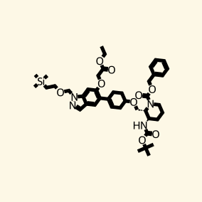 CCOC(=O)COc1cc2c(cnn2COCC[Si](C)(C)C)cc1C1=CCC(OC[C@H]2[C@@H](NC(=O)OC(C)(C)C)CCCN2C(=O)OCc2ccccc2)CC1